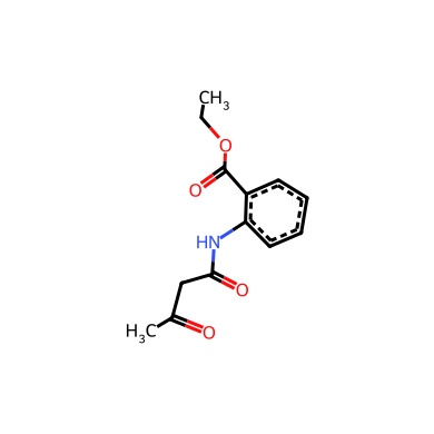 CCOC(=O)c1ccccc1NC(=O)CC(C)=O